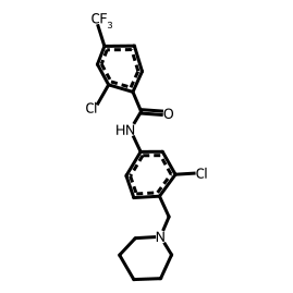 O=C(Nc1ccc(CN2CCCCC2)c(Cl)c1)c1ccc(C(F)(F)F)cc1Cl